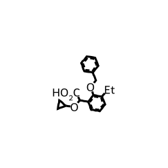 CCc1cccc(C(OC2CC2)C(=O)O)c1OCc1ccccc1